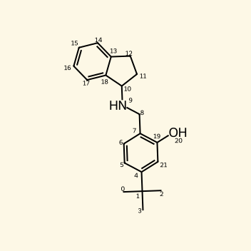 CC(C)(C)c1ccc(CNC2CCc3ccccc32)c(O)c1